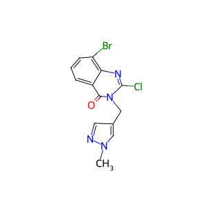 Cn1cc(Cn2c(Cl)nc3c(Br)cccc3c2=O)cn1